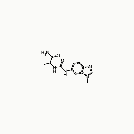 CC(NC(=O)Nc1ccc2ncn(C)c2c1)C(N)=O